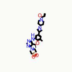 C=CC(=O)N1CCC(N2CC(c3cc(C)c4c(c3)Nc3ncnc(N5CCS(=O)(=O)CC5)c3[C@H](C)O4)C2)CC1